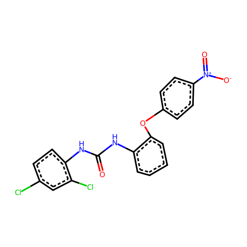 O=C(Nc1ccc(Cl)cc1Cl)Nc1ccccc1Oc1ccc([N+](=O)[O-])cc1